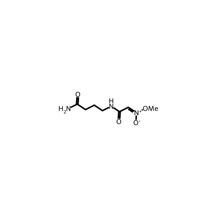 CO[N+]([O-])=CC(=O)NCCCC(N)=O